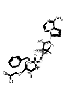 CCC(CC)COC(=O)[C@H](C)NP(=O)(OCc1ccccc1)OC1[C@@]2(C)O[C@@H](c3ccc4c(N)ncnn34)[C@H](O)[C@@]12O